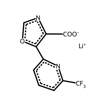 O=C([O-])c1ncoc1-c1cccc(C(F)(F)F)n1.[Li+]